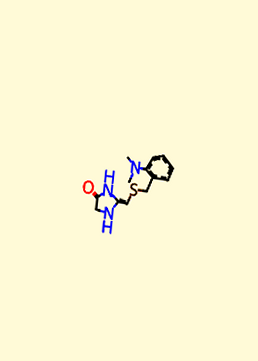 CN(C)c1ccccc1CSC=C1NCC(=O)N1